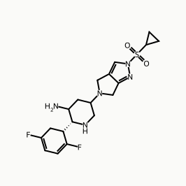 NC1CC(N2Cc3cn(S(=O)(=O)C4CC4)nc3C2)CN[C@@H]1C1CC(F)=CC=C1F